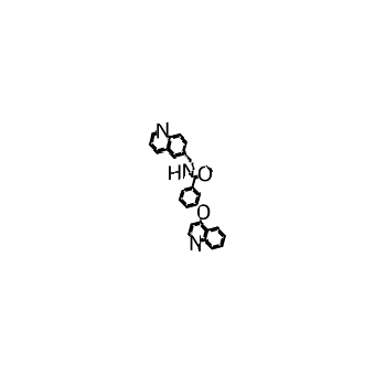 O=C(NCc1ccc2ncccc2c1)c1cccc(Oc2ccnc3ccccc23)c1